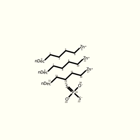 CCCCCCCCCCCCC[CH2][Zn+].CCCCCCCCCCCCC[CH2][Zn+].CCCCCCCCCCCCC[CH2][Zn+].[O-]P([O-])(=S)[S-]